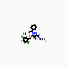 CCC(C1CCCCC1)n1nc(CNC)cc1OCc1cc(F)ccc1F